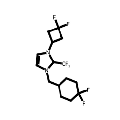 FC1(F)CCC(CN2C=CN(C3CC(F)(F)C3)C2C(F)(F)F)CC1